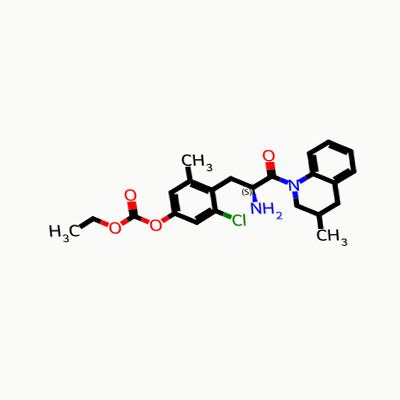 CCOC(=O)Oc1cc(C)c(C[C@H](N)C(=O)N2CC(C)Cc3ccccc32)c(Cl)c1